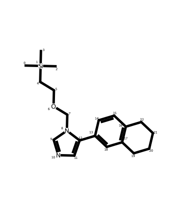 C[Si](C)(C)CCOCn1cncc1-c1ccc2c(c1)CCCC2